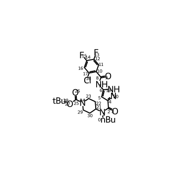 CCCCN(C(=O)c1cc(NC(=O)c2cc(F)c(F)cc2Cl)[nH]n1)C1CCN(C(=O)OC(C)(C)C)CC1